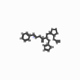 OCC1CCCN1CC(Cc1cccs1)NC/C=C/c1ccccc1